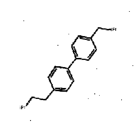 CC(C)CCc1ccc(-c2ccc(CC(C)C)cc2)cc1